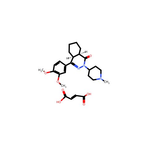 COc1ccc(C2=NN(C3CCN(C)CC3)C(=O)[C@@H]3CCCC[C@H]23)cc1OC.O=C(O)C=CC(=O)O